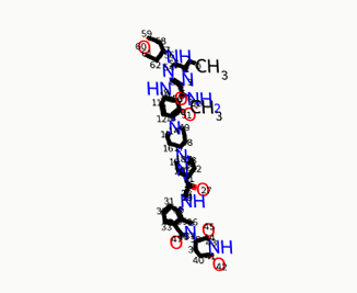 CCc1nc(C(N)=O)c(Nc2ccc(N3CCC(N4CC5CCC4CN5C(=O)CNc4cccc5c4CN(C4CCC(=O)NC4=O)C5=O)CC3)c(OC)c2)nc1NC1CCOCC1